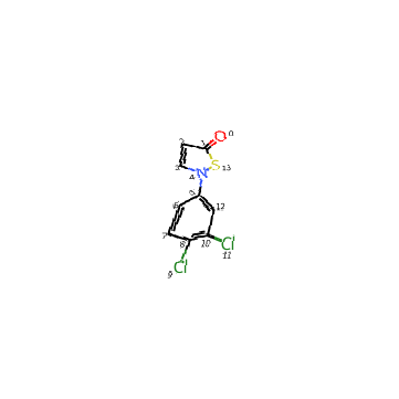 O=c1ccn(-c2ccc(Cl)c(Cl)c2)s1